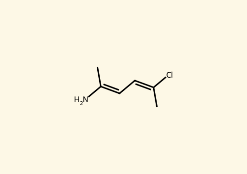 C/C(N)=C\C=C(/C)Cl